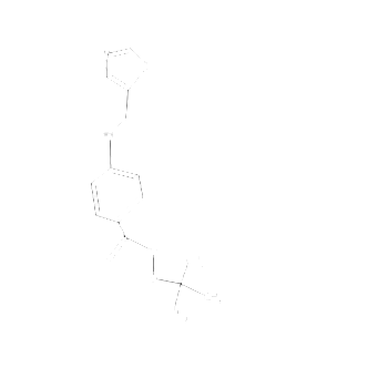 CC(C)(C)OOC(=O)c1ccc(NCc2cncs2)cc1